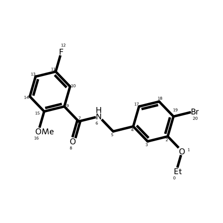 CCOc1cc(CNC(=O)c2cc(F)ccc2OC)ccc1Br